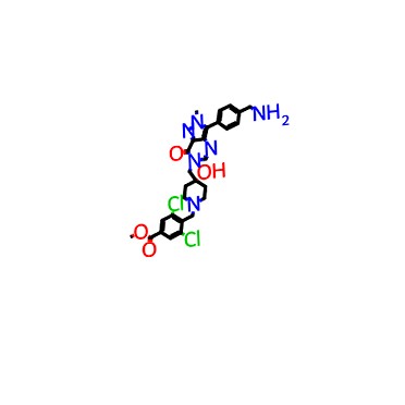 COC(=O)c1cc(Cl)c(CN2CCC(O)(Cn3cnc4c(-c5ccc(CN)cc5)n(C)nc4c3=O)CC2)c(Cl)c1